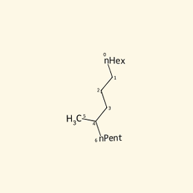 CCCCCCC[CH]CC(C)CCCCC